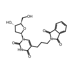 O=C1c2ccccc2C(=O)N1CCCc1cn([C@H]2C[C@H](O)[C@@H](CO)O2)c(=O)[nH]c1=O